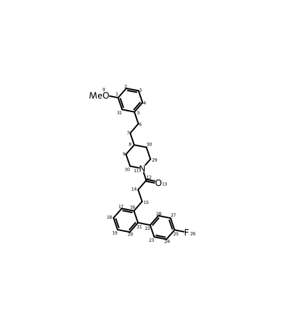 COc1cccc(CCC2CCN(C(=O)CCc3ccccc3-c3ccc(F)cc3)CC2)c1